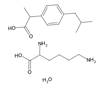 CC(C)Cc1ccc(C(C)C(=O)O)cc1.NCCCCC(N)C(=O)O.O